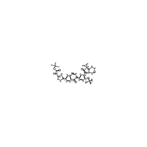 CC(C)(C)OC(=O)N[C@@H]1CCN(c2ccc3c(=O)n(-c4ccc(OC(F)(F)F)c(NC(=O)C5(N6CCOCC6)CC5)c4)cnc3c2)C1